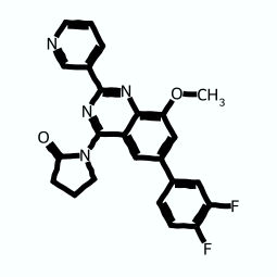 COc1cc(-c2ccc(F)c(F)c2)cc2c(N3CCCC3=O)nc(-c3cccnc3)nc12